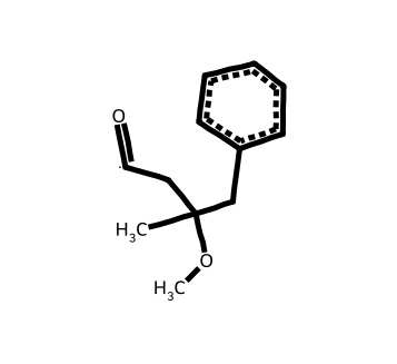 COC(C)(C[C]=O)Cc1ccccc1